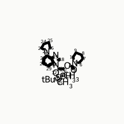 C[C@@H](OC(=O)N1CCCCC1)[C@H](O[Si](C)(C)C(C)(C)C)n1cnc2c(N3CCCC3)cccc21